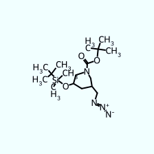 CC(C)(C)OC(=O)N1CC(CN=[N+]=[N-])CC(O[Si](C)(C)C(C)(C)C)C1